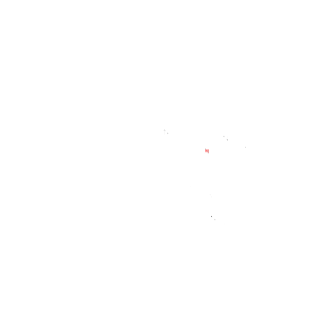 CC(C)N1C2CC1CN(c1c(NS(=O)(=O)CCO)cccc1C(N)=O)C2